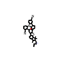 C=C/C=C\C1=C(C)c2ccc3c(sc4ccc(-c5c(C#N)cccc5-n5c6ccccc6c6cc(C#N)ccc65)cc43)c2C1(C)C